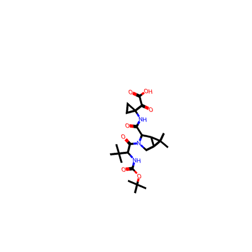 CC(C)(C)OC(=O)NC(C(=O)N1CC2C(C1C(=O)NC1(C(=O)C(=O)O)CC1)C2(C)C)C(C)(C)C